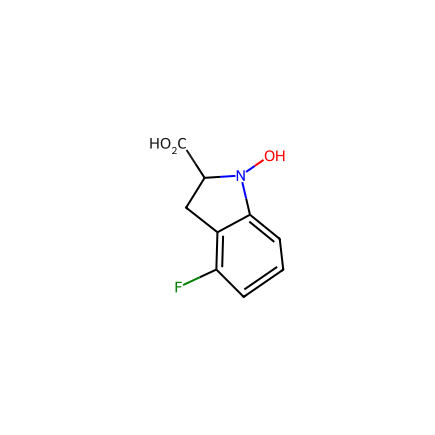 O=C(O)C1Cc2c(F)cccc2N1O